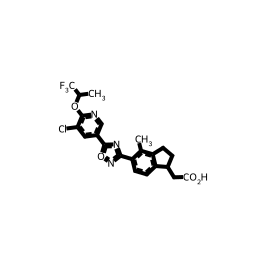 Cc1c(-c2noc(-c3cnc(OC(C)C(F)(F)F)c(Cl)c3)n2)ccc2c1CCC2CC(=O)O